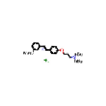 CCCCN(CCCC)CCCOc1ccc(/C=C/c2cccc(OC)c2)cc1.Cl